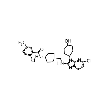 O=C(N[C@H]1CC[C@H](CNc2nc3ccc(Cl)nc3n2C2CCC(O)CC2)CC1)c1cc(C(F)(F)F)ccc1Cl